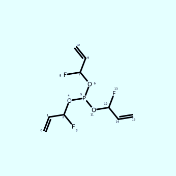 C=CC(F)OP(OC(F)C=C)OC(F)C=C